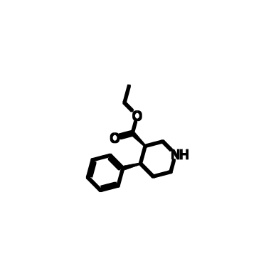 CCOC(=O)[C@H]1CNCC[C@H]1c1ccccc1